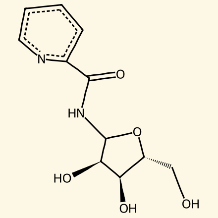 O=C(NC1O[C@H](CO)[C@@H](O)[C@H]1O)c1ccccn1